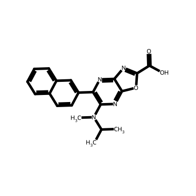 CC(C)N(C)c1nc2oc(C(=O)O)nc2nc1-c1ccc2ccccc2c1